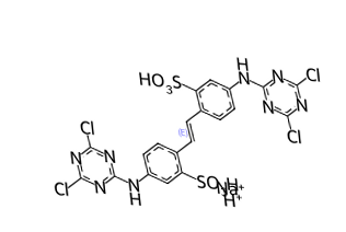 O=S(=O)(O)c1cc(Nc2nc(Cl)nc(Cl)n2)ccc1/C=C/c1ccc(Nc2nc(Cl)nc(Cl)n2)cc1S(=O)(=O)O.[H+].[Na+]